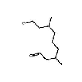 CC(CC=O)CCCC(C)CCO